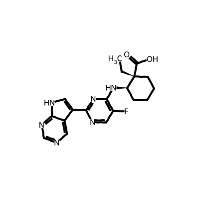 CC[C@@]1(C(=O)O)CCCC[C@H]1Nc1nc(-c2c[nH]c3ncncc23)ncc1F